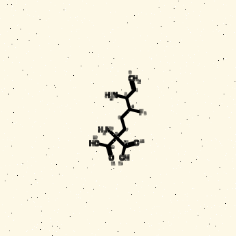 C=CC(N)C(F)CCC(N)(C(=O)O)C(=O)O